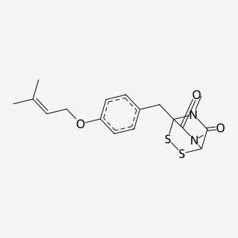 CC(C)=CCOc1ccc(CC23SSC(C(=O)N2C)N(C)C3=O)cc1